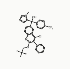 Cn1cncc1C(O)(c1ccc(C(F)(F)F)nc1)c1ccc2nc(OCC(C)(F)F)c(-c3ccccc3)c(Cl)c2c1